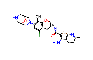 Cc1ccc2c(N)c(C(=O)N[C@H]3COc4c(C#N)c(N5CC6CNCC(C5)O6)cc(F)c4C3)sc2n1